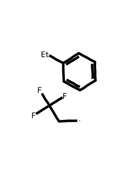 [CH2]CC(F)(F)F.[CH2]Cc1ccccc1